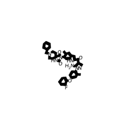 Cc1cc2cc(C(=O)c3cnn(-c4ccc(Oc5ccccc5F)cc4C)c3N)[nH]c2cc1N1C(=O)NC2(CCN(Cc3ccccc3)CC2)C1=O